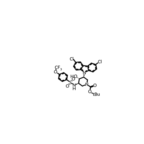 CC(C)(C)OC(=O)N1C[C@@H](NS(=O)(=O)c2ccc(OC(F)(F)F)cc2)[C@H](O)[C@@H](n2c3ccc(Cl)cc3c3cc(Cl)ccc32)C1